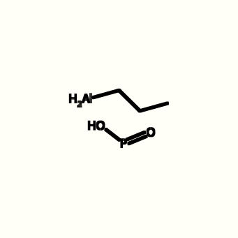 CC[CH2][AlH2].O=PO